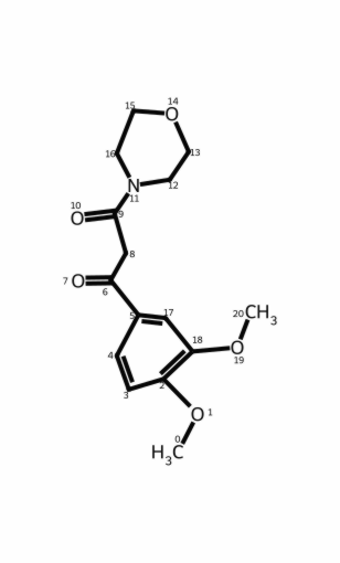 COc1ccc(C(=O)CC(=O)N2CCOCC2)cc1OC